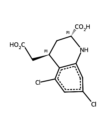 O=C(O)C[C@H]1C[C@H](C(=O)O)Nc2cc(Cl)cc(Cl)c21